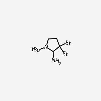 CCC1(CC)CCN(C(C)(C)C)C1N